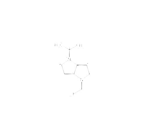 CC(C)N1CCC2C1CCN2CI